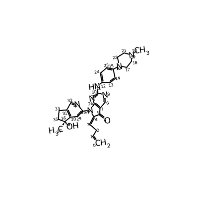 C=CC/C=C1\C(=O)c2cnc(Nc3ccc(N4CCN(C)CC4)cc3)nc2N1c1cc2c(cn1)CC[C@@]2(C)O